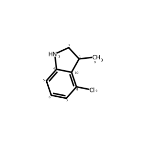 CC1CNc2cccc(Cl)c21